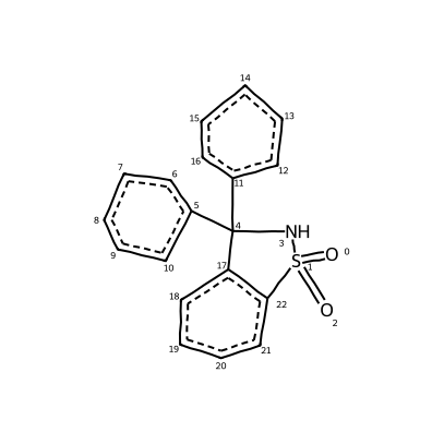 O=S1(=O)NC(c2ccccc2)(c2ccccc2)c2ccccc21